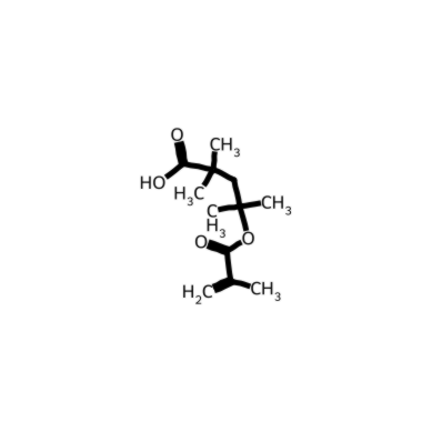 C=C(C)C(=O)OC(C)(C)CC(C)(C)C(=O)O